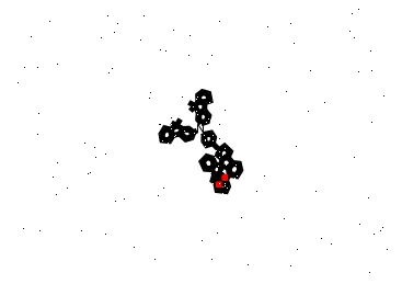 CC1(C)c2ccccc2-c2ccc(N(c3ccc(-c4ccc5c(c4)C4(c6ccccc6-c6ccccc64)c4c(-c6ccccc6)cccc4-5)cc3)c3ccc4c(c3)C(C)(C)c3ccccc3-4)cc21